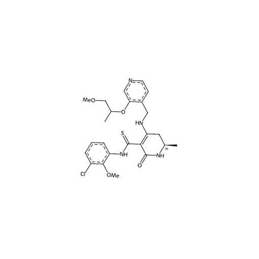 COCC(C)Oc1cnccc1CNC1=C(C(=S)Nc2cccc(Cl)c2OC)C(=O)N[C@H](C)C1